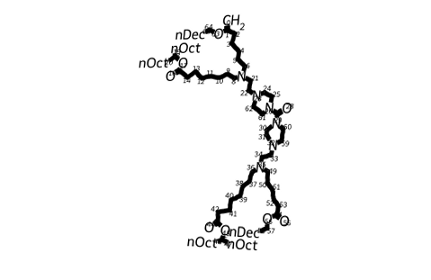 C=C(CCCCCN(CCCCCCCC(=O)OC(CCCCCCCC)CCCCCCCC)CCN1CCN(C(=O)N2CCN(CCN(CCCCCCCC(=O)OC(CCCCCCCC)CCCCCCCC)CCCCCC(=O)OCCCCCCCCCCC)CC2)CC1)OCCCCCCCCCCC